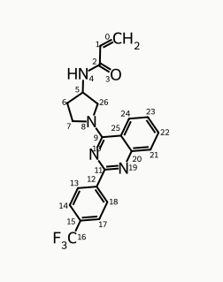 C=CC(=O)NC1CCN(c2nc(-c3ccc(C(F)(F)F)cc3)nc3ccccc23)C1